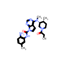 Cc1ccc(N)c(NC(=O)n2ccc3c(N(C)[C@H]4CN(C(=O)CC#N)CC[C@H]4C)ncnc32)c1